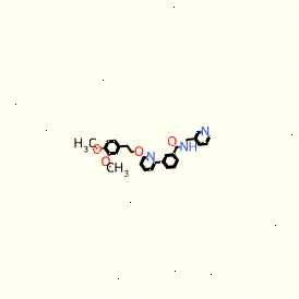 COc1ccc(CCOc2cccc(-c3cccc(C(=O)NCc4cccnc4)c3)n2)cc1OC